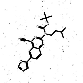 CC(C)CCN(C(=O)OC(C)(C)C)c1nc(C#N)c2cc(-c3cnco3)ccc2n1